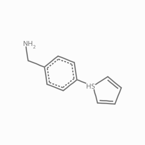 NCc1ccc([SH]2C=CC=C2)cc1